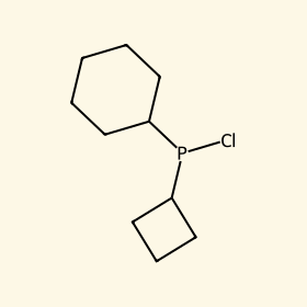 ClP(C1CCCCC1)C1CCC1